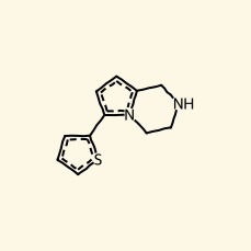 c1csc(-c2ccc3n2CCNC3)c1